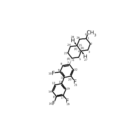 CC1CC[C@@H]2C[C@H](c3cc(F)c(-c4ccc(F)c(F)c4)c(F)c3)CC[C@@H]2C1